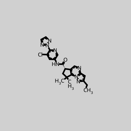 CCc1cc2ncc3c(n2n1)C(C)(C)C[C@@H]3C(=O)Nc1cnc(-n2nccn2)c(Cl)c1